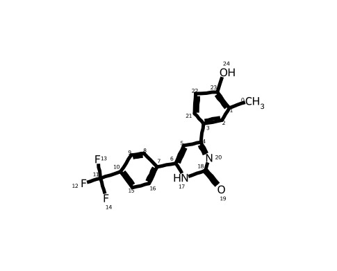 Cc1cc(-c2cc(-c3ccc(C(F)(F)F)cc3)[nH]c(=O)n2)ccc1O